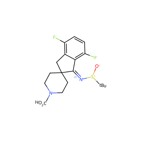 CC(C)(C)[S+]([O-])/N=C1\c2c(F)ccc(F)c2CC12CCN(C(=O)O)CC2